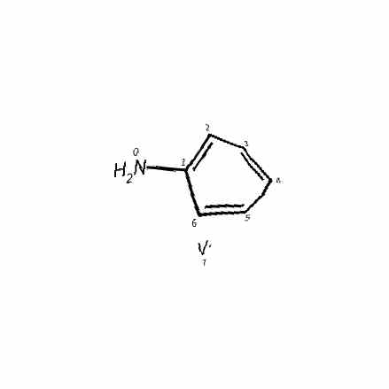 Nc1ccccc1.[V]